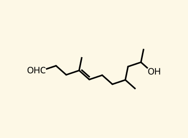 C/C(=C\CCC(C)CC(C)O)CCC=O